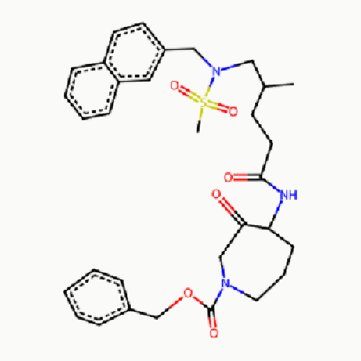 CC(CCC(=O)NC1CCCN(C(=O)OCc2ccccc2)CC1=O)CN(Cc1ccc2ccccc2c1)S(C)(=O)=O